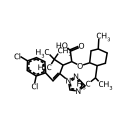 CC1CCC(C(C)C)C(OC(C(=O)O)C(/C(=C\c2ccc(Cl)cc2Cl)n2cncn2)C(C)(C)C)C1